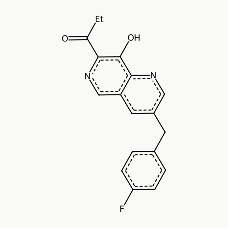 CCC(=O)c1ncc2cc(Cc3ccc(F)cc3)cnc2c1O